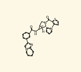 O=C(NC1C2CN(C(=O)c3sccc3-n3cccc3)C[C@@H]21)c1cccc(-c2cn3ccccc3n2)c1